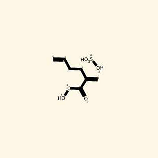 C=CCCC(=C)C(=O)OO.O=S(=O)(O)O